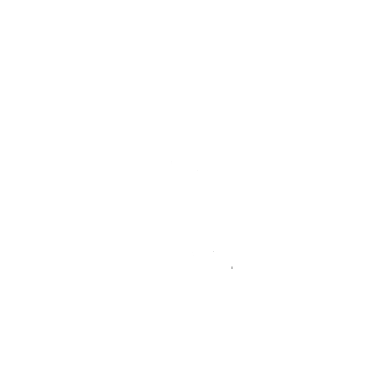 CC(C)c1ccccc1COCCC(=O)O